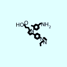 CCc1nccn1-c1ccc(-c2ccc(CCC(=O)O)n2-c2ccc(CN)cc2C)cc1